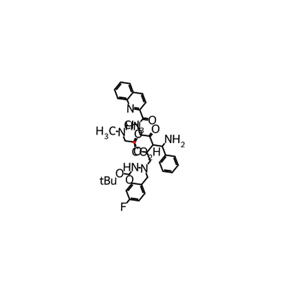 CN(C)CC(=O)OC(CN(Cc1ccc(F)cc1)NC(=O)OC(C)(C)C)C(C(=O)[C@H](CC(=O)O)NC(=O)c1ccc2ccccc2n1)C(N)c1ccccc1